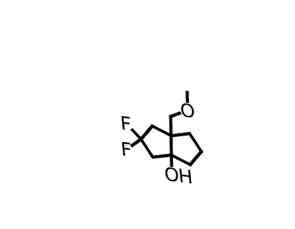 COCC12CCCC1(O)CC(F)(F)C2